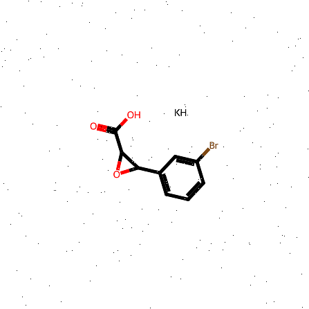 O=C(O)C1OC1c1cccc(Br)c1.[KH]